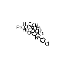 CCOC(=O)C(C)(C)C(C)(C)OC(=O)Cc1nc(-c2ccc(Cl)cc2)sc1C